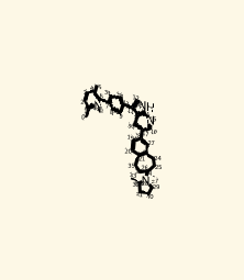 Cc1ccc(C)c(-c2ccc(-c3c[nH]c4ncc(-c5ccc6c(c5)CC[C@@](C)(N5CCC[C@H]5C)CC6)cc34)cc2)n1